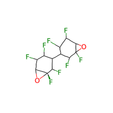 FC1C(F)C2OC2(F)C(F)C1C1C(F)C(F)C2O[C@@]2(F)C1F